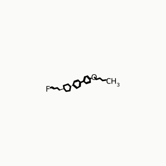 CCCCCOc1ccc(-c2ccc([C@H]3CC[C@H](CC/C=C/F)CC3)cc2)cc1